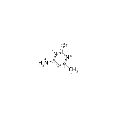 Cc1cc(N)nc(Br)n1